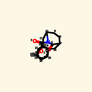 CC(C)(C)OC(=O)N1C(=O)C2CCC1Cc1ccccc1C2